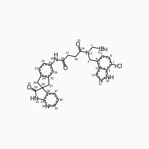 CC(C)(C)CN(Cc1ccc(Cl)c2[nH]ncc12)C(=O)CCC(=O)Nc1ccc2c(c1)CC1(C2)C(=O)Nc2ncccc21